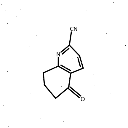 N#Cc1ccc2c(n1)CCCC2=O